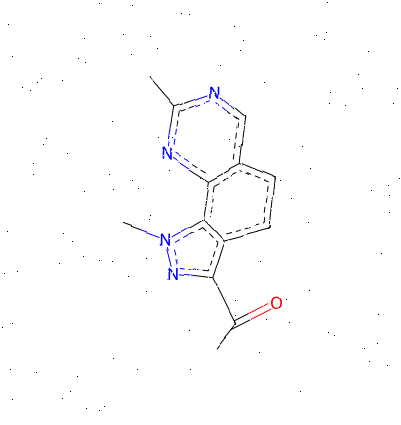 CC(=O)c1nn(C)c2c1ccc1cnc(C)nc12